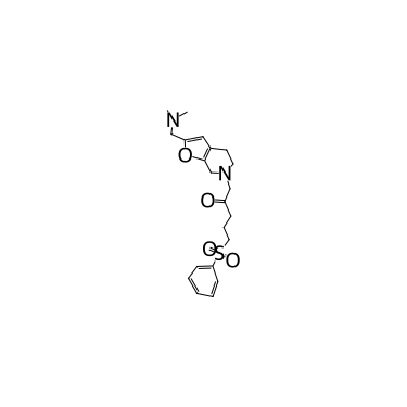 CN(C)Cc1cc2c(o1)CN(CC(=O)CCCS(=O)(=O)c1ccccc1)CC2